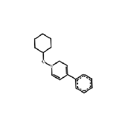 C1=CN(OC2CCCCC2)CC=C1c1ccccc1